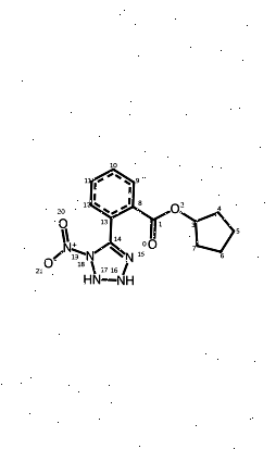 O=C(OC1CCCC1)c1ccccc1C1=NNNN1[N+](=O)[O-]